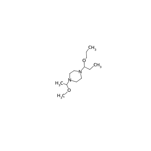 CCCOC(CC)N1CCN(C(C)OC)CC1